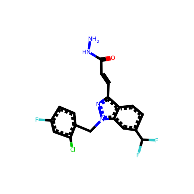 NNC(=O)C=Cc1nn(Cc2ccc(F)cc2Cl)c2cc(C(F)F)ccc12